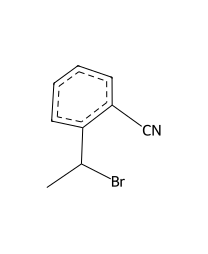 CC(Br)c1ccccc1C#N